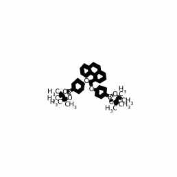 CC1(C)OB(c2ccc(OC(Oc3ccc(B4OC(C)(C)C(C)(C)O4)cc3)c3cccc4ccc5ccccc5c34)cc2)OC1(C)C